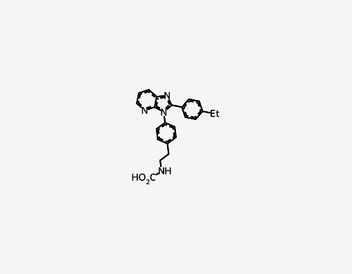 CCc1ccc(-c2nc3cccnc3n2-c2ccc(CCNC(=O)O)cc2)cc1